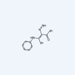 CC(C)C(=O)/C(N=N)=C(/Nc1ccccc1)C(C)C